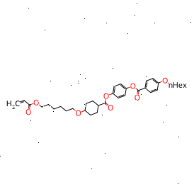 C=CC(=O)OCCCCCCOC1CCC(C(=O)Oc2ccc(OC(=O)c3ccc(OCCCCCC)cc3)cc2)CC1